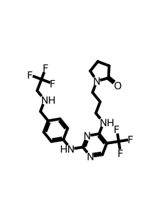 O=C1CCCN1CCCNc1nc(Nc2ccc(CNCC(F)(F)F)cc2)ncc1C(F)(F)F